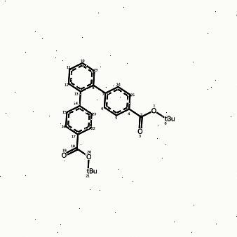 CC(C)(C)OC(=O)c1ccc(-c2[c]cccc2-c2ccc(C(=O)OC(C)(C)C)cc2)cc1